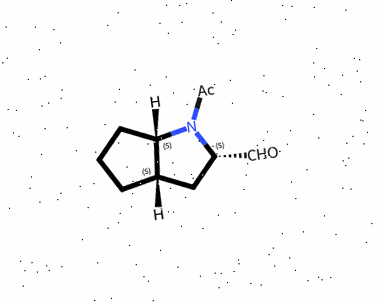 CC(=O)N1[C@H]([C]=O)C[C@@H]2CCC[C@@H]21